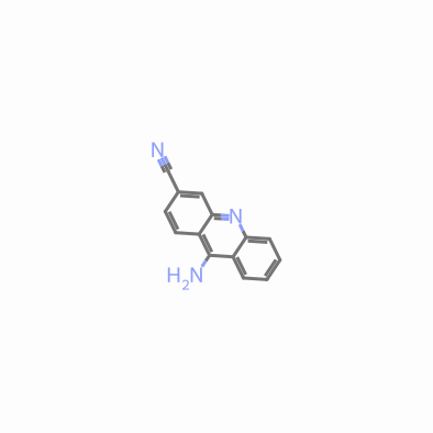 N#Cc1ccc2c(N)c3ccccc3nc2c1